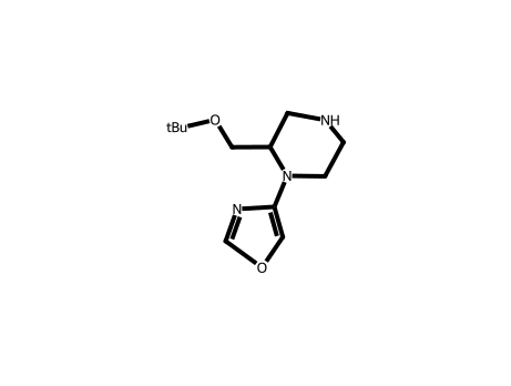 CC(C)(C)OCC1CNCCN1c1cocn1